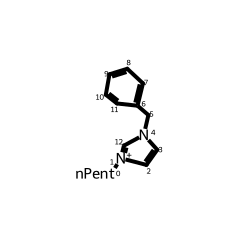 CCCCC[n+]1ccn(Cc2ccccc2)c1